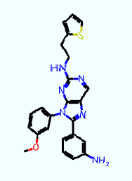 COc1cccc(-n2c(-c3cccc(N)c3)nc3cnc(NCCc4cccs4)nc32)c1